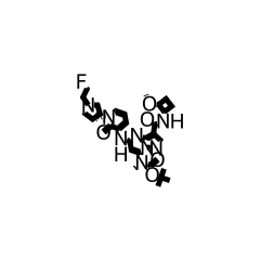 COC1CCC1NC(=O)c1cnn2c(N(C)C(=O)OC(C)(C)C)cc(Nc3cccn([C@@H]4CCN(CCF)C4)c3=O)nc12